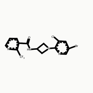 O=C(NC1CN(c2ncc(Br)cc2Cl)C1)c1cccnc1C(F)(F)F